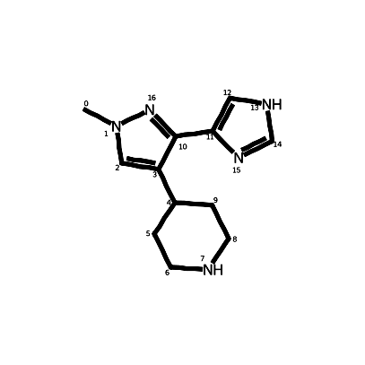 Cn1cc(C2CCNCC2)c(-c2c[nH]cn2)n1